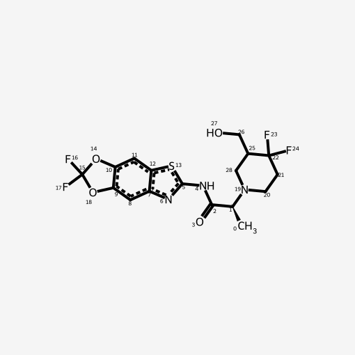 C[C@@H](C(=O)Nc1nc2cc3c(cc2s1)OC(F)(F)O3)N1CCC(F)(F)C(CO)C1